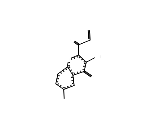 C=CC(=O)c1oc2ccc(C)cc2c(=O)c1S